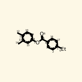 CCc1ccc(C(=O)Oc2ccc(C)c(C)c2)cc1